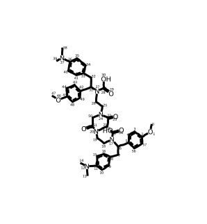 COc1ccc(C(Cc2ccc(N(C)C)cc2)N(CCN2CC(=O)N(CCN(C(=O)O)C(Cc3ccc(N(C)C)cc3)c3ccc(OC)cc3)CC2=O)C(=O)O)cc1